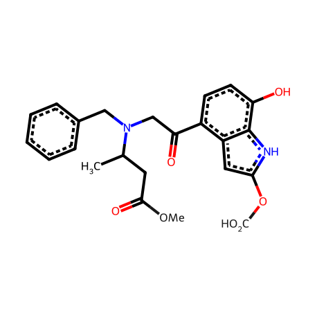 COC(=O)CC(C)N(CC(=O)c1ccc(O)c2[nH]c(OC(=O)O)cc12)Cc1ccccc1